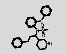 CS(=O)(=O)N(c1ccccc1Oc1ccccc1)C(CCc1ccccc1)C1CCCNC1